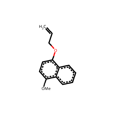 C=CCOc1ccc(OC)c2ccccc12